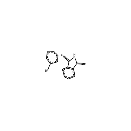 Brc1ccccc1.C=C1NC(=O)c2ccccc21